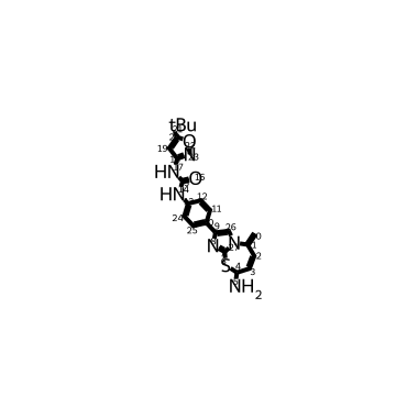 C=C1C=CC(N)Sc2nc(-c3ccc(NC(=O)Nc4cc(C(C)(C)C)on4)cc3)cn21